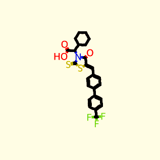 O=C(O)C(C1CCCCC1)N1C(=O)C(=Cc2ccc(-c3ccc(C(F)(F)F)cc3)cc2)SC1=S